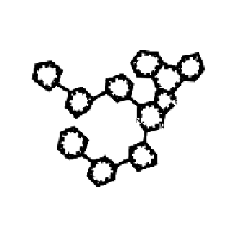 c1ccc(-c2cccc(-c3cccc(-c4nc(-c5cccc(-c6cccc(-c7ccccc7)c6)c5)c5c(n4)sc4c6ccccc6c6ccccc6c45)c3)c2)cc1